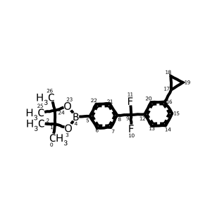 CC1(C)OB(c2ccc(C(F)(F)c3cccc(C4CC4)c3)cc2)OC1(C)C